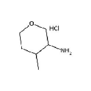 CC1CCOCC1N.Cl